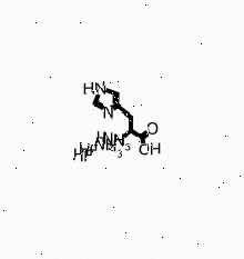 F.F.N.N.NC(Cc1c[nH]cn1)C(=O)O